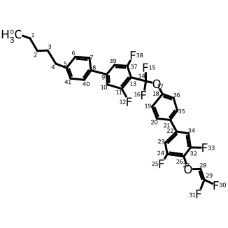 CCCCCc1ccc(-c2cc(F)c(C(F)(F)Oc3ccc(-c4cc(F)c(OC=C(F)F)c(F)c4)cc3)c(F)c2)cc1